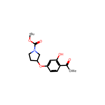 COC(=O)c1ccc(OC2CCN(C(=O)OC(C)(C)C)C2)cc1O